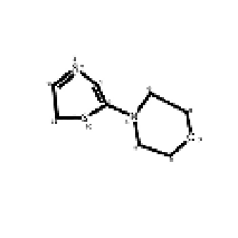 C1=[N+]C=C(N2CCOCC2)SC1